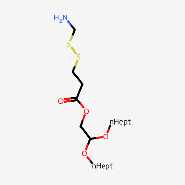 CCCCCCCOC(COC(=O)CCSSCN)OCCCCCCC